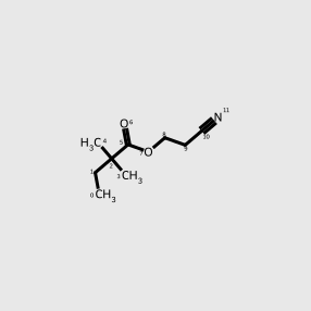 CCC(C)(C)C(=O)OCCC#N